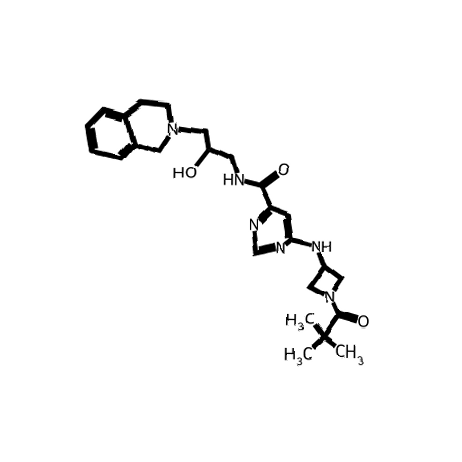 CC(C)(C)C(=O)N1CC(Nc2cc(C(=O)NCC(O)CN3CCc4ccccc4C3)ncn2)C1